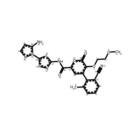 COCCOc1c(-c2c(C)cccc2C#N)cc(C(=O)Nc2nnc(-n3nccc3N)s2)oc1=O